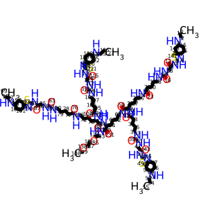 CCCN[C@H]1CCc2nc(NC(=O)CNC(=O)NCCCCC(=O)NCCCCC(NC(=O)CCCCNC(=O)NCC(=O)Nc3nc4c(s3)C[C@@H](NCCC)CC4)C(=O)NCCCCC(NC(=O)C(CCCCNC(=O)CCCCNC(=O)NCC(=O)Nc3nc4c(s3)C[C@@H](NCCC)CC4)NC(=O)CCCCNC(=O)NCC(=O)Nc3nc4c(s3)C[C@@H](NCCC)CC4)C(=O)NCCOCCOCC)sc2C1